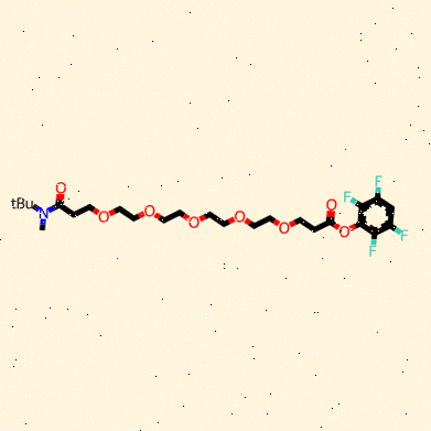 CN(C(=O)CCOCCOCCOCCOCCOCCC(=O)Oc1c(F)c(F)cc(F)c1F)C(C)(C)C